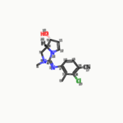 Cc1c(/N=C2/N(C)C[C@@H]3[C@H](O)C=CN23)ccc(C#N)c1Cl